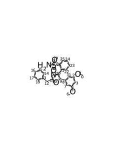 COc1cc(OC)cc(-c2oc(Cc3ccccc3)nc2-c2ccccc2S(N)(=O)=O)c1